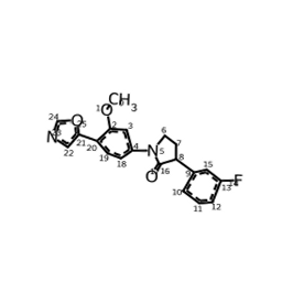 COc1cc(N2CCC(c3cccc(F)c3)C2=O)ccc1-c1cnco1